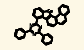 c1ccc(-c2nc(-c3ccccc3)nc(-c3cccc4[se]c5c(ccc6ccc7ccccc7c65)c34)n2)cc1